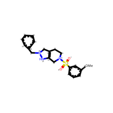 COc1cccc(S(=O)(=O)N2CCC3=C(C2)NN(Cc2ccccc2)C3)c1